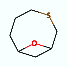 C1CSCC2CC(C1)O2